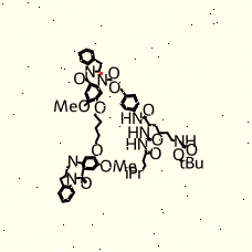 COc1cc2c(cc1OCCCCCOc1cc(N(C)C(=O)OCc3ccc(NC(=O)C(CCCCNC(=O)OC(C)(C)C)NC(=O)NC(=O)CCC(C)C)cc3)c(C(=O)N3CCc4ccccc43)cc1OC)N=CC1Cc3ccccc3N1C2=O